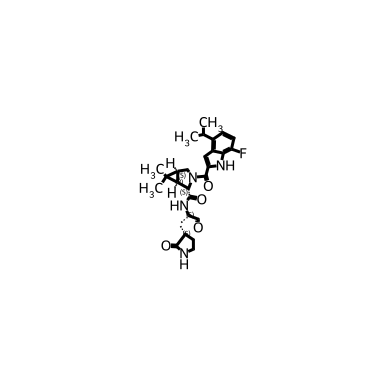 CC(C)c1ccc(F)c2[nH]c(C(=O)N3C[C@H]4[C@@H]([C@H]3C(=O)N[C@H](C=O)C[C@@H]3CCNC3=O)C4(C)C)cc12